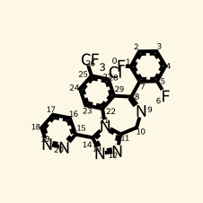 Fc1cccc(F)c1C1=NCc2nnc(-c3cccnn3)n2-c2ccc(C(F)(F)F)c(Cl)c21